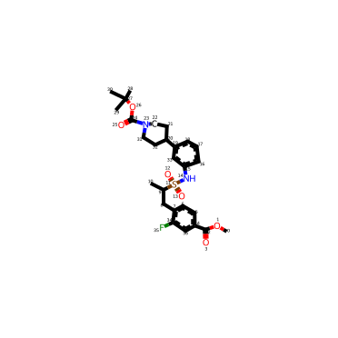 COC(=O)c1ccc(CC(C)S(=O)(=O)Nc2cccc(C3CCN(C(=O)OC(C)(C)C)CC3)c2)c(F)c1